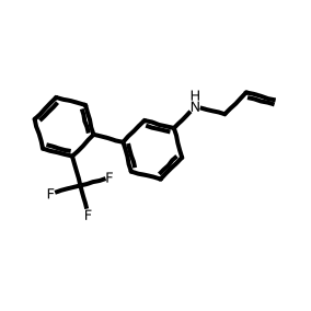 C=CCNc1cccc(-c2ccccc2C(F)(F)F)c1